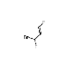 FC=CC(F)Br